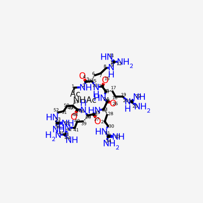 CC(=O)CNC(=O)[C@H](CCCNC(=N)N)NC(=O)[C@H](CCCNC(=N)N)NC(=O)[C@H](CCCNC(=N)N)NC(=O)[C@H](CCCNC(=N)N)NC(=O)[C@H](CCCNC(=N)N)NC(C)=O